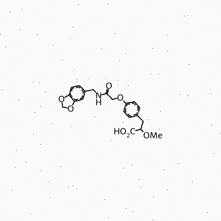 COC(Cc1ccc(OCC(=O)NCc2ccc3c(c2)OCO3)cc1)C(=O)O